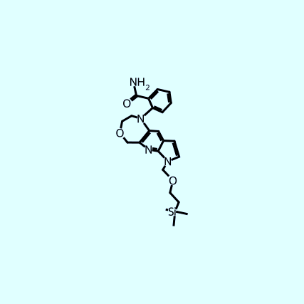 C[Si](C)(C)CCOCn1ccc2cc3c(nc21)COCCN3c1ccccc1C(N)=O